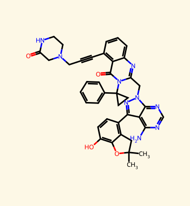 CC1(C)Cc2c(-c3nn(Cc4nc5cccc(C#CCN6CCNC(=O)C6)c5c(=O)n4C4(c5ccccc5)CC4)c4ncnc(N)c34)ccc(O)c2O1